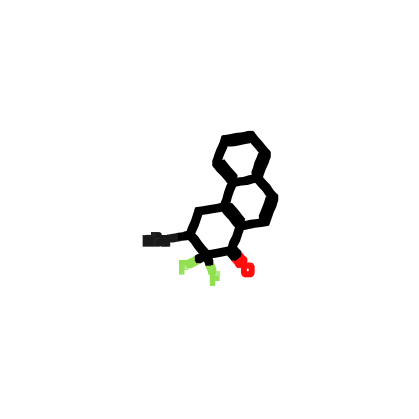 CCCCC1Cc2c(ccc3ccccc23)C(=O)C1(F)F